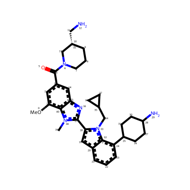 COc1cc(C(=O)N2CCC[C@@H](CN)C2)cc2nc(-c3cc4cccc(C5CCC(N)CC5)c4n3CC3CC3)n(C)c12